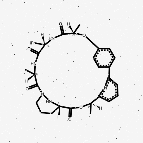 CC(C)[C@@H]1NC(=O)[C@H](C)Oc2ccc(cc2)-c2cccc(n2)[C@@H](C)OC(=O)[C@@H]2CCCN(N2)C(=O)[C@H](C)NC1=O